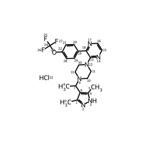 Cc1n[nH]c(C)c1C(C)N1CCN(c2nccnc2-c2ccc(OC(F)(F)F)cc2)CC1.Cl